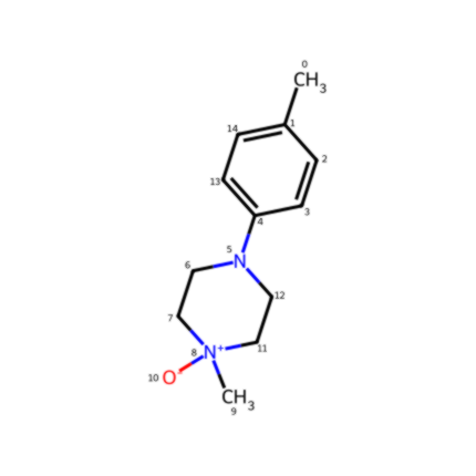 Cc1ccc(N2CC[N+](C)([O-])CC2)cc1